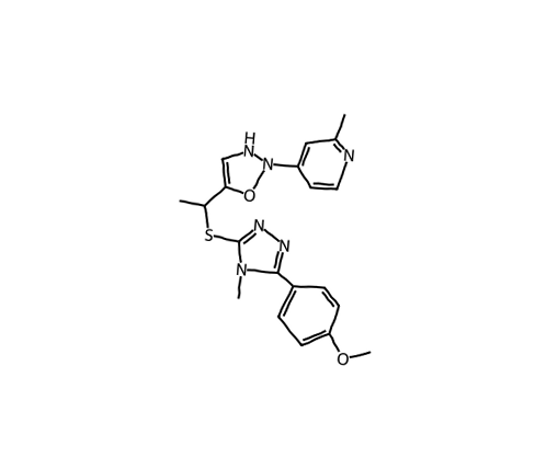 COc1ccc(-c2nnc(SC(C)C3=CNN(c4ccnc(C)c4)O3)n2C)cc1